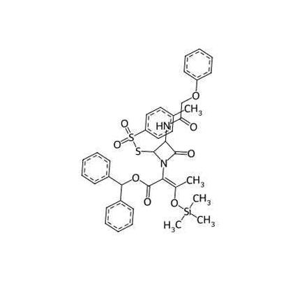 CC(O[Si](C)(C)C)=C(C(=O)OC(c1ccccc1)c1ccccc1)N1C(=O)C(NC(=O)COc2ccccc2)C1SS(=O)(=O)c1ccc(C)cc1